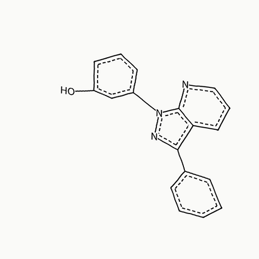 Oc1cccc(-n2nc(-c3ccccc3)c3cccnc32)c1